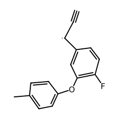 C#C[CH]c1ccc(F)c(Oc2ccc(C)cc2)c1